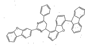 c1ccc(C2=NC(c3ccc4c(c3)oc3ccccc34)=NC(c3cccc4oc5c(C6c7ccccc7-c7ccccc76)cccc5c34)C2)cc1